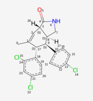 CC1=C[C@@H]2C(=O)NC[C@H]2[C@@H](c2ccc(Cl)cc2)[C@@H]1c1ccc(Cl)cc1Cl